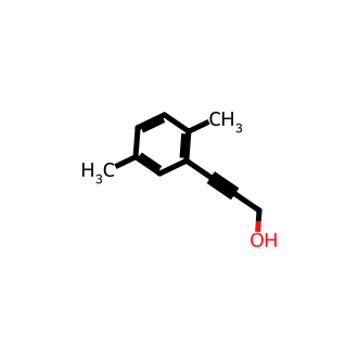 Cc1ccc(C)c(C#CCO)c1